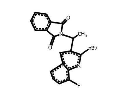 CCCCc1nc2c(F)cccc2cc1C(C)N1C(=O)c2ccccc2C1=O